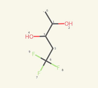 [CH2]C(O)C(O)CC(F)(F)F